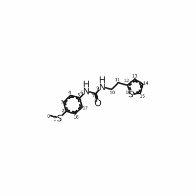 CSc1ccc(NC(=O)NCCc2cccs2)cc1